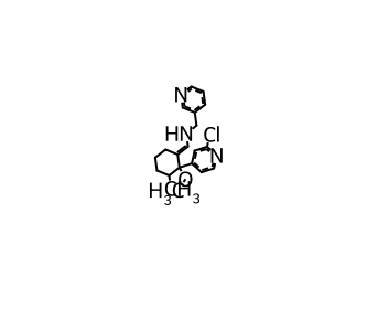 COC1(c2ccnc(Cl)c2)/C(=C/NCc2cccnc2)CCCC1C